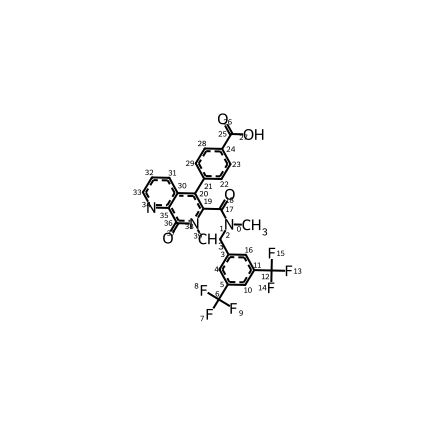 CN(Cc1cc(C(F)(F)F)cc(C(F)(F)F)c1)C(=O)c1c(-c2ccc(C(=O)O)cc2)c2cccnc2c(=O)n1C